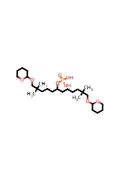 CC(C)(CCCCC(CCCC(C)(C)COC1CCCCO1)OP(=O)(O)O)COC1CCCCO1